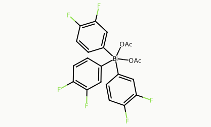 CC(=O)[O][Bi]([O]C(C)=O)([c]1ccc(F)c(F)c1)([c]1ccc(F)c(F)c1)[c]1ccc(F)c(F)c1